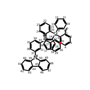 Cc1ccccc1[Si](c1ccccc1)(c1ccccc1)c1ccccc1[SiH](c1ccccc1)c1cccc(-n2c3ccccc3c3ccccc32)c1